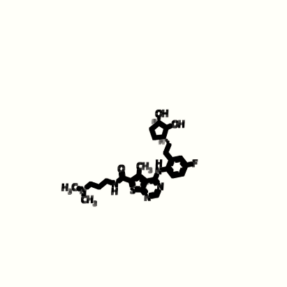 Cc1c(C(=O)NCCCN(C)C)sc2ncnc(Nc3ccc(F)cc3CC[C@@H]3CC[C@@H](O)C3O)c12